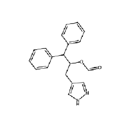 O=COC(Cc1cn[nH]c1)C(c1ccccc1)c1ccccc1